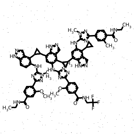 CCNC(=O)c1ccc(-c2nc(Nc3ccc4[nH]ncc4c3C3CC3c3cc(Nc4nc(-c5ccc(C(=O)NCC(F)(F)F)cc5OC)nn4C)c(C4CC4c4cc(Nc5nc(-c6ccc(C(=O)NCC)c(C)c6)nn5C)c(C5CC5)c5cn[nH]c45)c4cn[nH]c34)n(C)n2)c(OC)c1